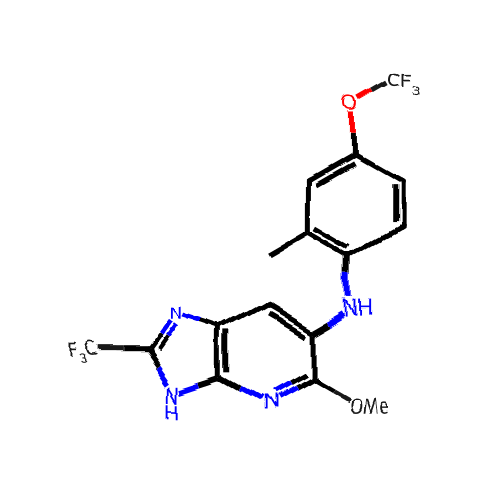 COc1nc2[nH]c(C(F)(F)F)nc2cc1Nc1ccc(OC(F)(F)F)cc1C